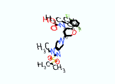 CCn1c(S(=O)(=O)C(C)C)nc2c1CN([C@H]1CO[C@H](c3cc(F)ccc3F)[C@@H](N(C(=O)O)C(C)(C)C)C1)C2